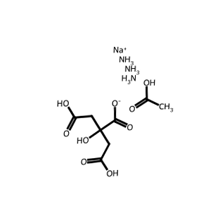 CC(=O)O.N.N.N.O=C(O)CC(O)(CC(=O)O)C(=O)[O-].[Na+]